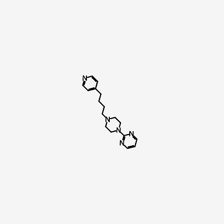 c1cnc(N2CCN(CCCCc3ccncc3)CC2)nc1